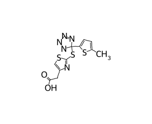 Cc1ccc(C2(Sc3nc(CC(=O)O)cs3)N=NN=N2)s1